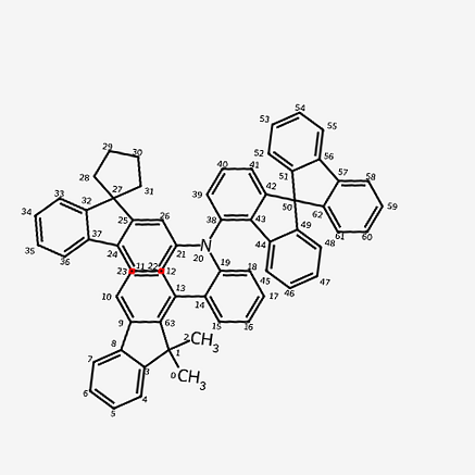 CC1(C)c2ccccc2-c2cccc(-c3ccccc3N(c3ccc4c(c3)C3(CCCC3)c3ccccc3-4)c3cccc4c3-c3ccccc3C43c4ccccc4-c4ccccc43)c21